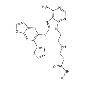 Nc1ncnc2c1nc(Sc1cc3ccoc3cc1-c1ccco1)n2CCNCCC(=O)NO